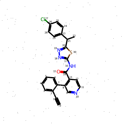 C#Cc1ccccc1-c1cnccc1C(=O)Nc1nnc(C(C)c2ccc(Cl)cc2)s1